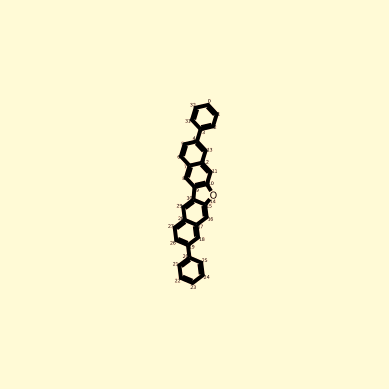 c1ccc(-c2ccc3cc4c(cc3c2)oc2cc3cc(-c5ccccc5)ccc3cc24)cc1